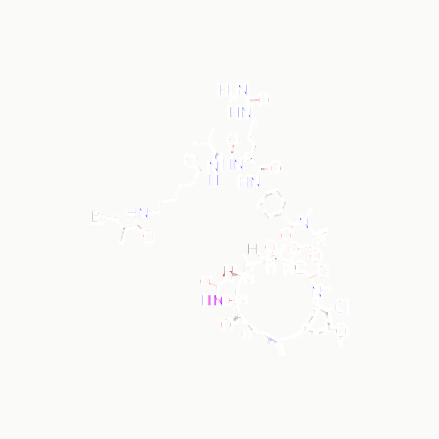 C=C(CBr)C(=O)NCCCCCC(=O)N[C@H](C(=O)N[C@@H](CCCNC(N)=O)C(=O)Nc1ccc(C(=O)N(C)[C@@H](C)C(=O)O[C@H]2CC(=O)N(C)c3cc(cc(OC)c3Cl)C/C(C)=C/C=C/[C@@H](OC)[C@@]3(O)C[C@H](OC(=O)N3)[C@@H](C)[C@@H]3O[C@@]23C)cc1)C(C)C